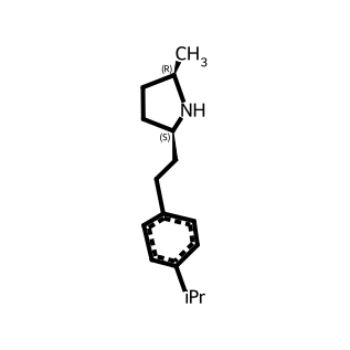 CC(C)c1ccc(CC[C@H]2CC[C@@H](C)N2)cc1